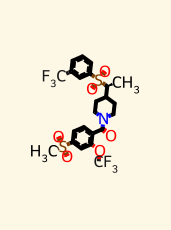 C[C@@H](C1CCN(C(=O)c2ccc(S(C)(=O)=O)cc2OC(F)(F)F)CC1)S(=O)(=O)c1cccc(C(F)(F)F)c1